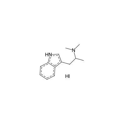 CC(Cc1c[nH]c2ccccc12)N(C)C.I